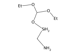 CCOC(OCC)O[SiH2]CN